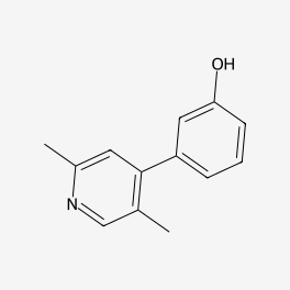 Cc1cc(-c2cccc(O)c2)c(C)cn1